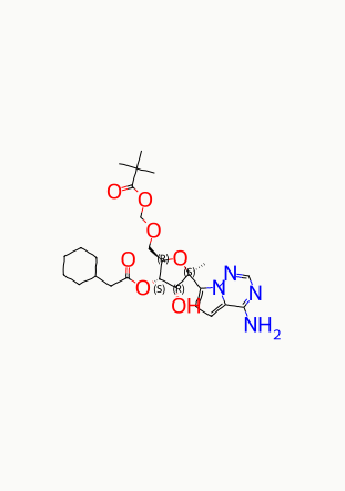 CC(C)(C)C(=O)OCOC[C@H]1O[C@@](C)(c2ccc3c(N)ncnn23)[C@H](O)[C@@H]1OC(=O)CC1CCCCC1